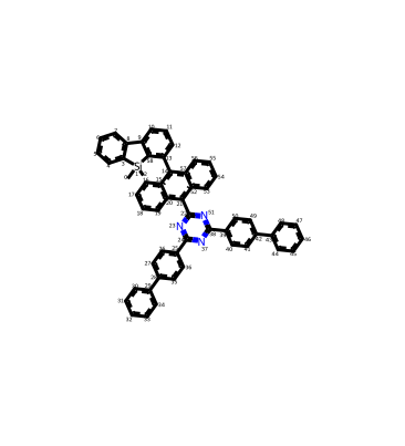 C[Si]1(C)c2ccccc2-c2cccc(-c3c4ccccc4c(-c4nc(-c5ccc(-c6ccccc6)cc5)nc(-c5ccc(-c6ccccc6)cc5)n4)c4ccccc34)c21